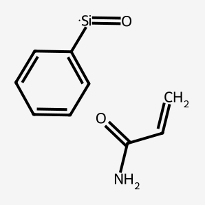 C=CC(N)=O.O=[Si]c1ccccc1